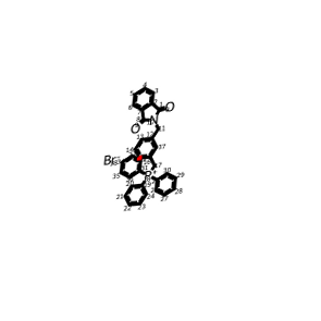 O=C1c2ccccc2C(=O)N1Cc1cccc(C[P+](c2ccccc2)(c2ccccc2)c2ccccc2)c1.[Br-]